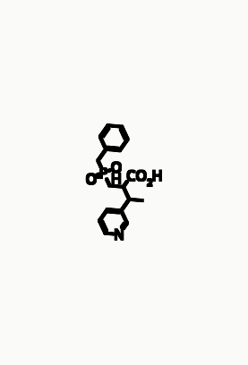 CC(c1cccnc1)C(CP(=O)(O)Cc1ccccc1)C(=O)O